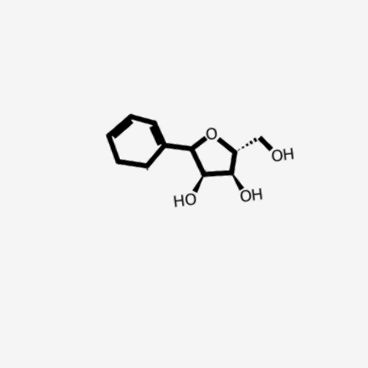 OC[C@H]1OC(C2=CC=CC[CH]2)[C@H](O)[C@@H]1O